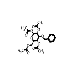 CC(=O)OC[C@H]1O[C@@H](OC(C)=O)[C@H](OC(C)=O)[C@@H](OCc2ccccc2)[C@@H]1OC(C)=O